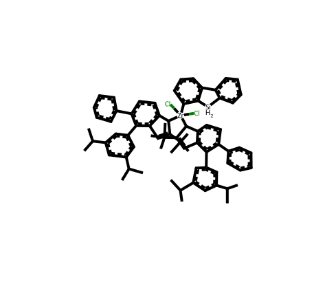 CC(C)c1cc(-c2c(-c3ccccc3)ccc3c2C=C(C(C)(C)C)[CH]3[Zr]([Cl])([Cl])([c]2cccc3c2[SiH2]c2ccccc2-3)[CH]2C(C(C)(C)C)=Cc3c2ccc(-c2ccccc2)c3-c2cc(C(C)C)cc(C(C)C)c2)cc(C(C)C)c1